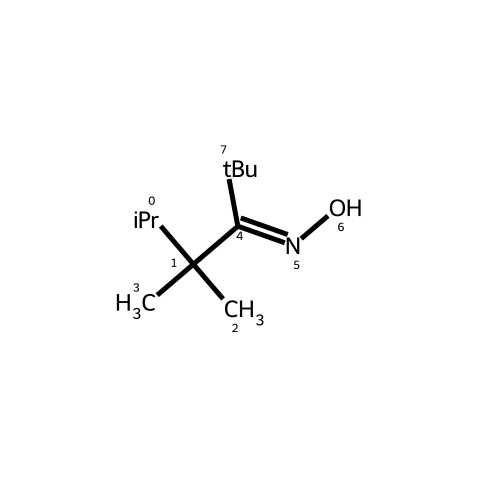 CC(C)C(C)(C)/C(=N/O)C(C)(C)C